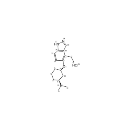 CCc1c(O[C@@H]2CCC[C@H](N(C)C)C2)ccc2[nH]ncc12.Cl